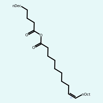 CCCCCCCC/C=C\CCCCCCCC(=O)OC(=O)CCCCCCCCCCCCC